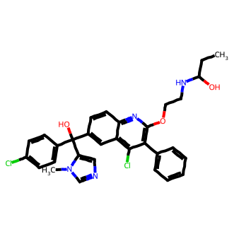 CCC(O)NCCOc1nc2ccc(C(O)(c3ccc(Cl)cc3)c3cncn3C)cc2c(Cl)c1-c1ccccc1